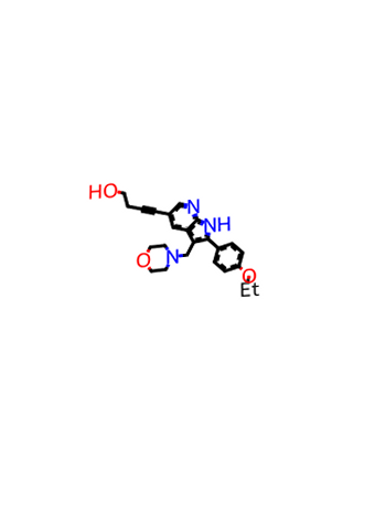 CCOc1ccc(-c2[nH]c3ncc(C#CCCO)cc3c2CN2CCOCC2)cc1